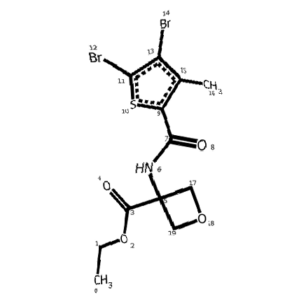 CCOC(=O)C1(NC(=O)c2sc(Br)c(Br)c2C)COC1